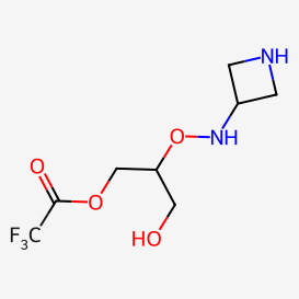 O=C(OCC(CO)ONC1CNC1)C(F)(F)F